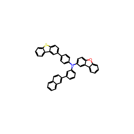 c1cc(-c2ccc3ccccc3c2)cc(N(c2ccc(-c3ccc4sc5ccccc5c4c3)cc2)c2ccc3oc4ccccc4c3c2)c1